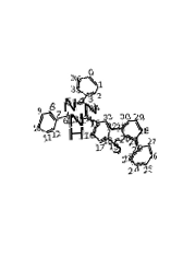 c1ccc(C2=NC(c3ccccc3)NC(c3ccc4sc5c(-c6ccccc6)cccc5c4c3)=N2)cc1